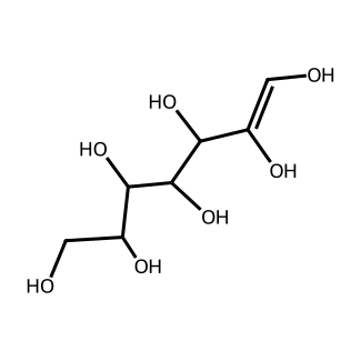 OC=C(O)C(O)C(O)C(O)C(O)CO